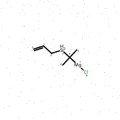 C=CC[SiH2][C](C)(C)[Mg][Cl]